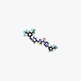 O=C(c1csc(C2CCN(Cc3cc(C(F)(F)F)cc(C(F)(F)F)c3)CC2)n1)N1CCN(c2cccc(C(F)(F)F)c2)CC1